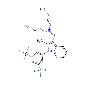 CCCC[N+](=Cc1c(C)n(-c2cc(C(F)(F)F)cc(C(F)(F)F)c2)c2ccccc12)CCCC